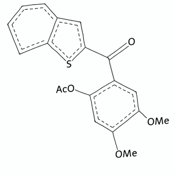 COc1cc(OC(C)=O)c(C(=O)c2cc3ccccc3s2)cc1OC